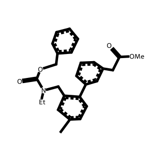 CCN(Cc1cc(C)ccc1-c1cccc(CC(=O)OC)c1)C(=O)OCc1ccccc1